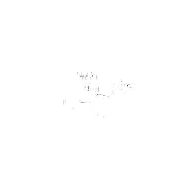 NC(CCC(=O)O)C(=O)O.[NaH].[NaH].[NaH].[NaH]